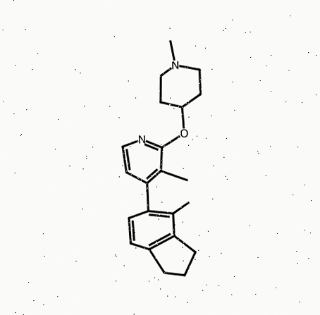 Cc1c(-c2ccc3c(c2C)CCC3)ccnc1OC1CCN(C)CC1